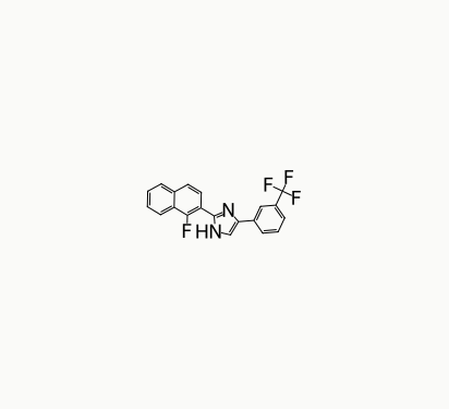 Fc1c(-c2nc(-c3cccc(C(F)(F)F)c3)c[nH]2)ccc2ccccc12